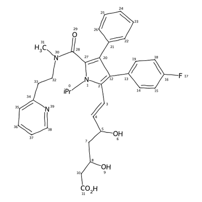 CC(C)n1c(C=CC(O)CC(O)CC(=O)O)c(-c2ccc(F)cc2)c(-c2ccccc2)c1C(=O)N(C)CCc1ccccn1